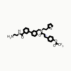 NCCNC(=O)c1cccc(-c2cccc(CN(CCc3cccs3)C(=O)/C=C/c3ccc(OC(=O)C(F)(F)F)cc3)c2)c1